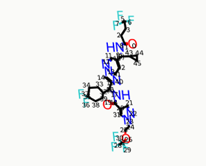 O=C(CCC(F)(F)F)N[C@@H](c1cnn2cc([C@@H](NC(=O)c3cnn(CCOC(F)(F)F)c3)C3CCC(F)(F)CC3)nc2c1)C1CC1